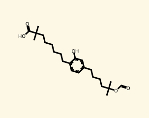 CC(C)(CCCCc1ccc(CCCCCCC(C)(C)C(=O)O)c(O)c1)OC=O